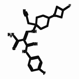 N#CCC1(N/C=C(\C(=N)Nc2ccc(F)cc2)C(N)=O)CCC(N2CC(F)C2)CC1